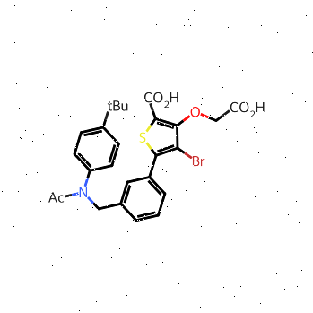 CC(=O)N(Cc1cccc(-c2sc(C(=O)O)c(OCC(=O)O)c2Br)c1)c1ccc(C(C)(C)C)cc1